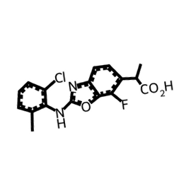 Cc1cccc(Cl)c1Nc1nc2ccc(C(C)C(=O)O)c(F)c2o1